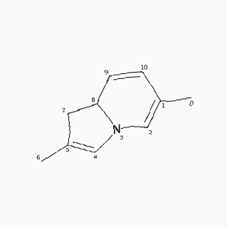 CC1=CN2C=C(C)CC2C=C1